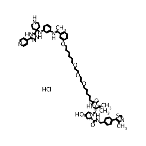 Cc1ncsc1-c1ccc(CNC(=O)[C@@H]2C[C@@H](O)CN2C[C@H](NC(=O)CCCCCOCCOCCOCCCCCCOc2cccc([C@@H](C)Nc3cccc(NC4(c5nnc(-c6ccncc6)[nH]5)CCNCC4)c3)c2)C(C)(C)C)cc1.Cl